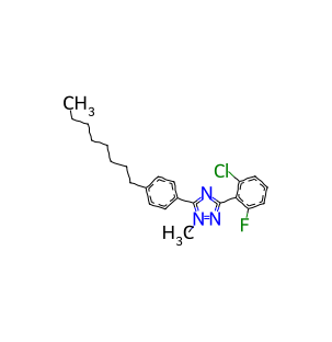 CCCCCCCCc1ccc(-c2nc(-c3c(F)cccc3Cl)nn2C)cc1